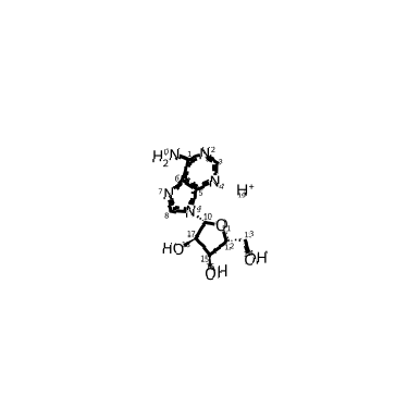 Nc1ncnc2c1ncn2[C@@H]1O[C@H](CO)[C@@H](O)[C@H]1O.[H+]